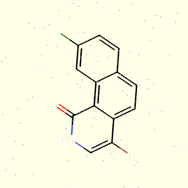 O=c1[nH]cc(Br)c2ccc3ccc(Cl)cc3c12